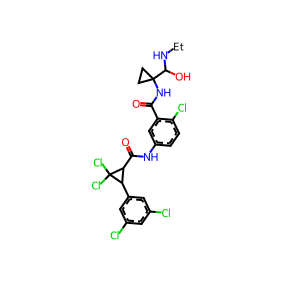 CCNC(O)C1(NC(=O)c2cc(NC(=O)C3C(c4cc(Cl)cc(Cl)c4)C3(Cl)Cl)ccc2Cl)CC1